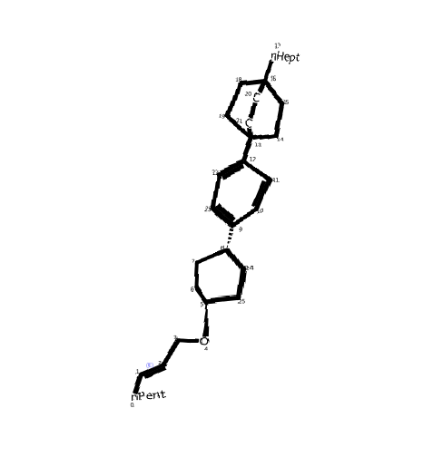 CCCCC/C=C/CO[C@H]1CC[C@H](c2ccc(C34CCC(CCCCCCC)(CC3)CC4)cc2)CC1